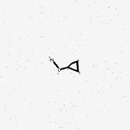 [N]OC1CC1